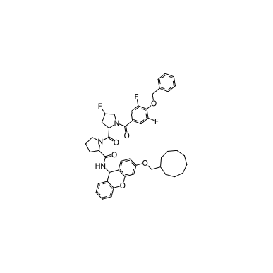 O=C(NC1c2ccccc2Oc2cc(OCC3CCCCCCCC3)ccc21)C1CCCN1C(=O)C1CC(F)CN1C(=O)c1cc(F)c(OCc2ccccc2)c(F)c1